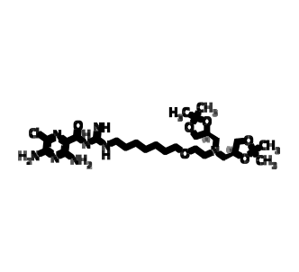 CC1(C)OC[C@H](CN(CCOCCCCCCCNC(=N)NC(=O)c2nc(Cl)c(N)nc2N)C[C@H]2COC(C)(C)O2)O1